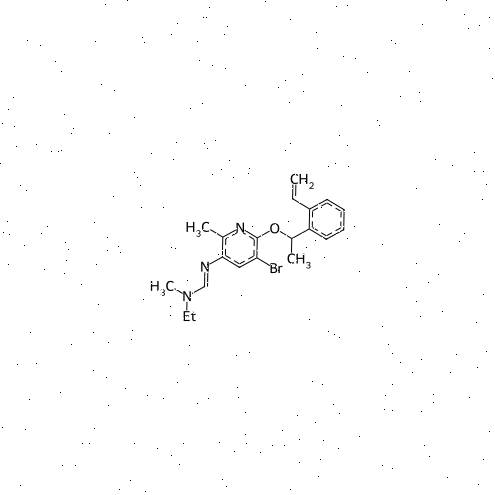 C=Cc1ccccc1C(C)Oc1nc(C)c(/N=C/N(C)CC)cc1Br